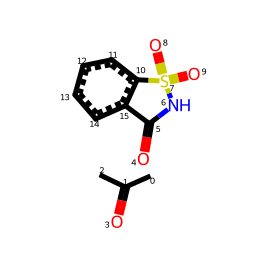 CC(C)=O.O=C1NS(=O)(=O)c2ccccc21